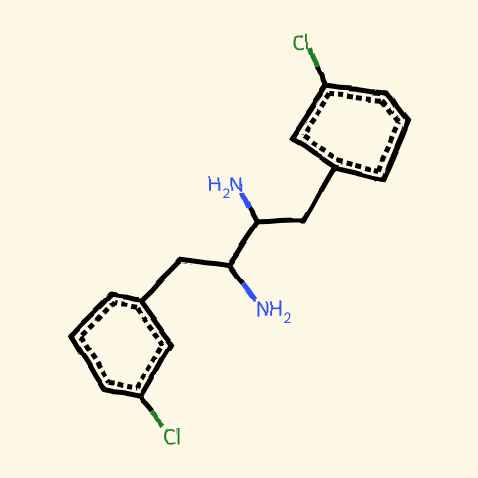 NC(Cc1cccc(Cl)c1)C(N)Cc1cccc(Cl)c1